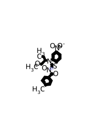 CCC(C(=O)OC)n1/c(=N/C(=O)c2ccc(C)cc2)sc2ccc([N+](=O)[O-])cc21